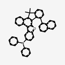 CC1(C)c2cccc(-c3cccc4ccccc34)c2-c2c1c1ccccc1c1c2oc2ccc(N(c3ccccc3)c3ccccc3)cc21